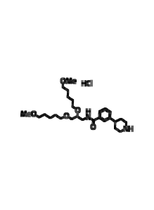 COCCCCCOCC(CNC(=O)c1cccc(C2CCNCC2)c1)OCCCCCOC.Cl